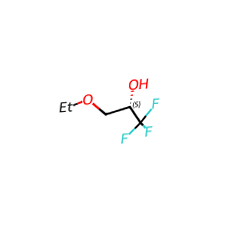 CCOC[C@H](O)C(F)(F)F